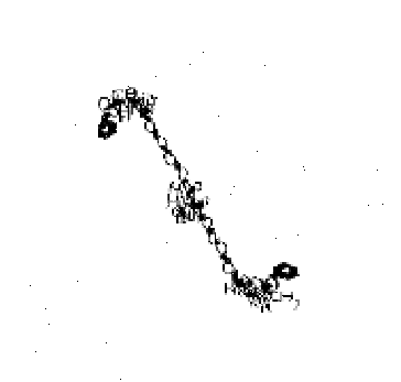 CC(C)[C@H](NC(=O)CCOCCOCCOCCOCCNC(=O)CC[C@H](NC(=O)OC(C)(C)C)C(=O)NCCOCCOCCOCCOCCC(=O)N[C@H](C(=O)N[C@@H](C)C(=O)OCc1ccccc1)C(C)C)C(=O)N[C@@H](C)C(=O)OCc1ccccc1